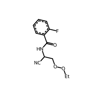 CCOOCC(C#N)NC(=O)c1ccccc1F